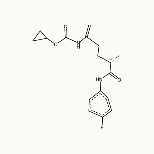 C=C(CC[C@H](C)C(=O)Nc1ccc(F)cc1)NC(=O)OC1CC1